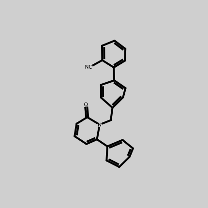 N#Cc1ccccc1-c1ccc(Cn2c(-c3ccccc3)cccc2=O)cc1